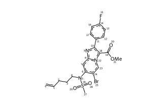 C=CCCCN(c1cc2nc(-c3ccc(F)cc3)c(C(=O)OC)n2cc1Br)S(C)(=O)=O